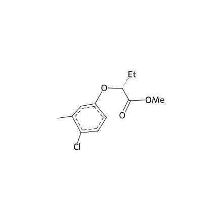 CC[C@@H](Oc1ccc(Cl)c(C)c1)C(=O)OC